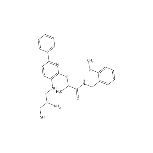 CSc1ccccc1CNC(=O)C(C)Oc1nc(-c2ccccc2)ccc1NCC(N)CS